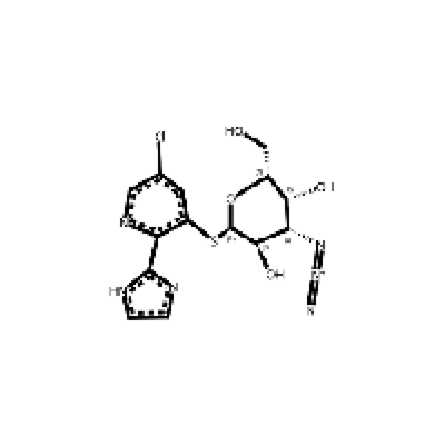 [N-]=[N+]=N[C@@H]1[C@@H](O)[C@@H](Sc2cc(Cl)cnc2-c2ncc[nH]2)O[C@H](CO)[C@@H]1O